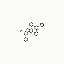 CC(C)c1cc(-c2ccccc2)nc2c1ccc1ccc(-c3ccccc3-c3nc(-c4ccccc4)cc(-c4ccccc4)n3)nc12